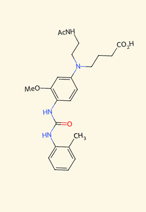 COc1cc(N(CCCC(=O)O)CCNC(C)=O)ccc1NC(=O)Nc1ccccc1C